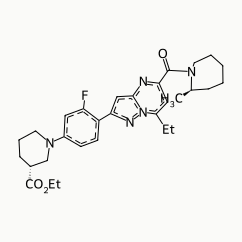 CCOC(=O)[C@@H]1CCCN(c2ccc(-c3cc4nc(C(=O)N5CCCCC[C@H]5C)cc(CC)n4n3)c(F)c2)C1